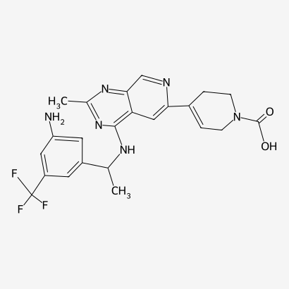 Cc1nc(NC(C)c2cc(N)cc(C(F)(F)F)c2)c2cc(C3=CCN(C(=O)O)CC3)ncc2n1